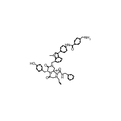 C=CCN1CC(=O)N2[C@@H](Cc3ccc(O)cc3)C(=O)N(Cc3cccc4c(-c5ccc(NC(=O)c6ccc(CN)cc6)cc5)cn(C)c34)C[C@@H]2N1C(=O)NCc1ccccc1